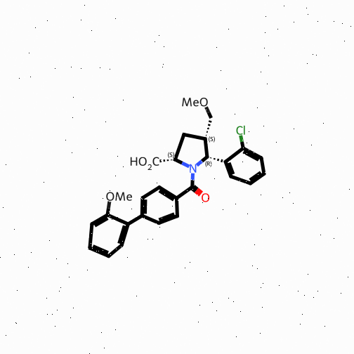 COC[C@H]1C[C@@H](C(=O)O)N(C(=O)c2ccc(-c3ccccc3OC)cc2)[C@H]1c1ccccc1Cl